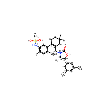 COc1cc(C)c(NS(=O)(=O)C(F)(F)F)cc1C1=C(CN2C(=O)O[C@H](c3cc(C(F)(F)F)cc(C(F)(F)F)c3)[C@@H]2C)CC(C)(C)CC1